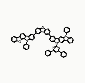 c1ccc(-c2cc(-c3ccccc3)nc(-n3c4ccc(-c5ccc6sc7ccc(-c8ccc9c(c8)c8ccc%10c%11ccccc%11oc%10c8n9-c8ccccc8)cc7c6c5)cc4c4cc5c(cc43)c3ccccc3n5-c3ccccc3)n2)cc1